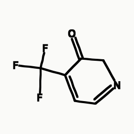 O=C1CN=CC=C1C(F)(F)F